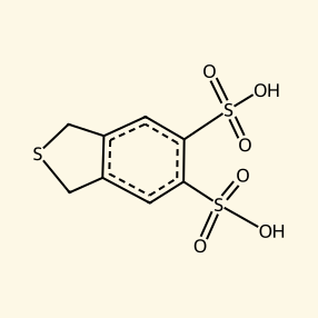 O=S(=O)(O)c1cc2c(cc1S(=O)(=O)O)CSC2